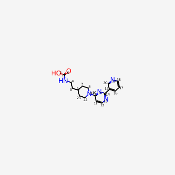 O=C(O)NCCC1CCN(c2ccnc(-c3cccnc3)n2)CC1